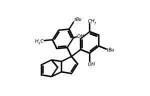 Cc1cc(C(C)(C)C)c(O)c(C2(c3cc(C)cc(C(C)(C)C)c3O)C=CC3C4C=CC(C4)C32)c1